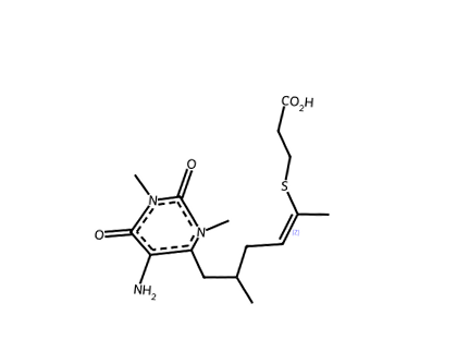 C/C(=C/CC(C)Cc1c(N)c(=O)n(C)c(=O)n1C)SCCC(=O)O